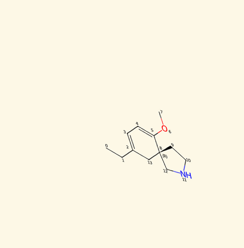 CCC1=CC=C(OC)[C@@]2(CCNC2)C1